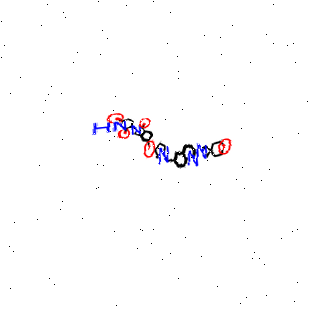 O=C1CCC(N2Cc3cc(OC4CCN(Cc5ccc6nc(N7CC8(CCOCC8)C7)ccc6c5)C4)ccc3C2=O)C(=O)N1